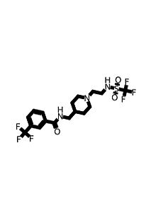 O=C(NCC1CCN(CCNS(=O)(=O)C(F)(F)F)CC1)c1cccc(C(F)(F)F)c1